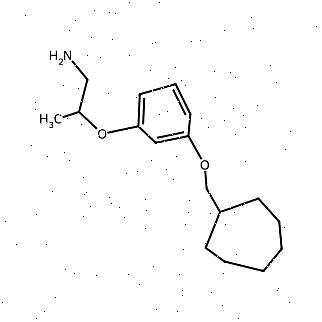 CC(CN)Oc1cccc(OCC2CCCCCC2)c1